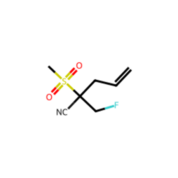 C=CCC(C#N)(CF)S(C)(=O)=O